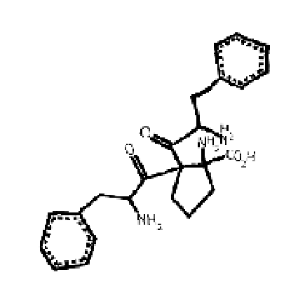 NC(Cc1ccccc1)C(=O)C1(C(=O)C(N)Cc2ccccc2)CCCC1(N)C(=O)O